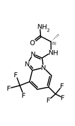 C[C@H](Nc1nnc2c(C(F)(F)F)cc(C(F)(F)F)cn12)C(N)=O